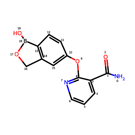 NC(=O)c1cccnc1Oc1ccc2c(c1)COB2O